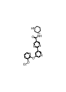 CCOc1cccnc1Oc1cncc(-c2ncc(C(=O)N[C@H]3CCCNC3)cn2)c1